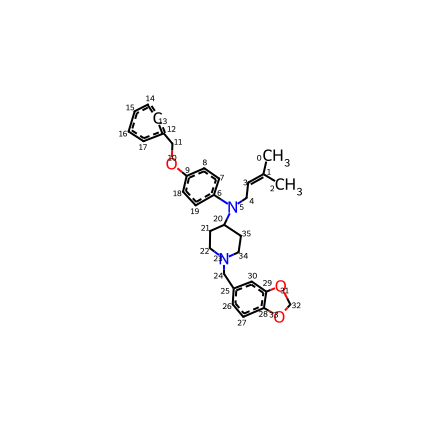 CC(C)=CCN(c1ccc(OCc2ccccc2)cc1)C1CCN(Cc2ccc3c(c2)OCO3)CC1